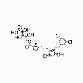 CC[C@H](O)[C@@H](O)[C@H](O)[C@@H](O)COC(=O)c1ccc(CCC[C@@H]2[C@@H](CCc3cc(Cl)cc(Cl)c3)[C@H](O)C[C@H]2Cl)s1